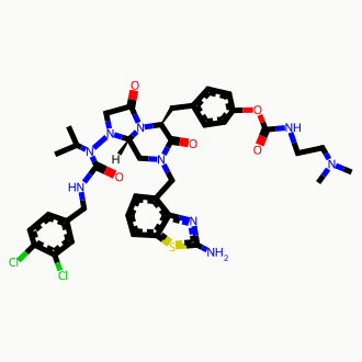 CC(C)N(C(=O)NCc1ccc(Cl)c(Cl)c1)N1CC(=O)N2[C@@H](Cc3ccc(OC(=O)NCCN(C)C)cc3)C(=O)N(Cc3cccc4sc(N)nc34)C[C@@H]21